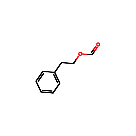 O=CO[CH]Cc1ccccc1